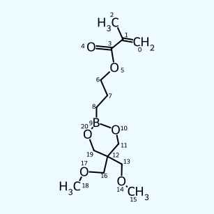 C=C(C)C(=O)OCCCB1OCC(COC)(COC)CO1